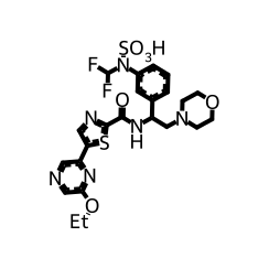 CCOc1cncc(-c2cnc(C(=O)NC(CN3CCOCC3)c3cccc(N(C(F)F)S(=O)(=O)O)c3)s2)n1